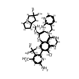 Cc1cc(N)nc(-c2cc3c4c(c2Cl)=NCNC=4N(Cc2cccnc2N)C=C(OC[C@]24CCCN2CC(F)(F)C4)O3)c1C(F)(F)F